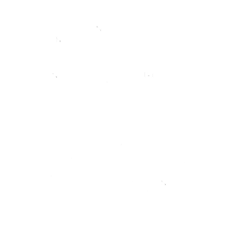 CC1(C)OC(=C(C#N)C#N)C(C#N)=C1C=CC1=C(Oc2ccc(CCCO)cc2)C(=CC=C2N(CCCCCC(=O)O)c3ccccc3C2(C)C)CC(C(C)(C)C)C1